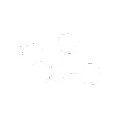 O=c1[nH]c(-c2ccccc2)c(-c2ccccc2)n1C1CCNCC1